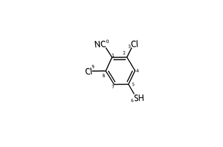 N#Cc1c(Cl)cc(S)cc1Cl